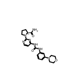 NC(=O)[C@@H]1CCCN1c1nccc(NC(=O)Nc2cccc(N3CCOCC3)c2)n1